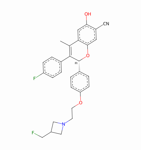 CC1=C(c2ccc(F)cc2)[C@@H](c2ccc(OCCN3CC(CF)C3)cc2)Oc2cc(C#N)c(O)cc21